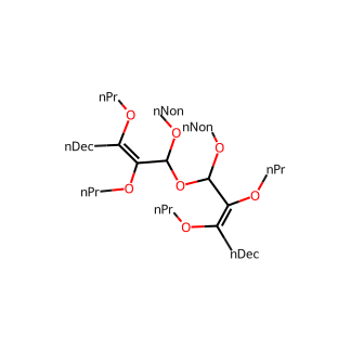 CCCCCCCCCCC(OCCC)=C(OCCC)C(OCCCCCCCCC)OC(OCCCCCCCCC)C(OCCC)=C(CCCCCCCCCC)OCCC